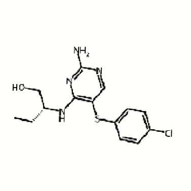 CC[C@H](CO)Nc1nc(N)ncc1Sc1ccc(Cl)cc1